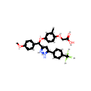 COc1ccc(C(Oc2ccc(OCC(=O)O)c(C)c2)c2cc(-c3ccc(C(F)(F)F)cc3)[nH]n2)cc1